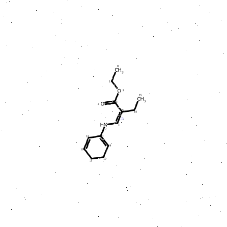 CCOC(=O)/C(=C\NC1=CCCC=C1)CC